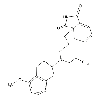 CCCN(CCCC12CC=CC=C1C(=O)NC2=O)C1CCc2c(cccc2OC)C1